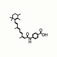 CC1=C(/C=C/C(C)=C/C=C/C(C)=C\C(=O)Nc2ccc(C(=O)O)cc2)C(C)(C)CCC1C